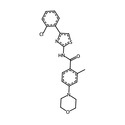 Cc1cc(N2CCOCC2)ccc1C(=O)Nc1nc(-c2ccccc2Cl)cs1